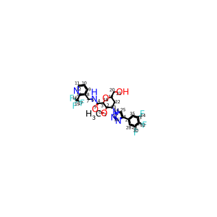 COC1C(C(=O)NCc2cccnc2C(F)(F)F)OC(CO)CC1n1cc(-c2cc(F)c(F)c(F)c2)nn1